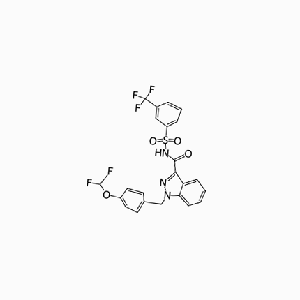 O=C(NS(=O)(=O)c1cccc(C(F)(F)F)c1)c1nn(Cc2ccc(OC(F)F)cc2)c2ccccc12